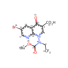 CC(C)(C)OC(=O)N(CC(F)(F)F)n1cc(C(=O)O)c(=O)c2cc(Br)cnc21